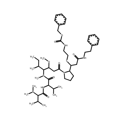 CCC(C)C(C(CC(=O)N1CCCC1C(CC(=O)NCCc1ccccc1)SCCNC(=O)OCc1ccccc1)OC)N(C)C(=O)C(NC(=O)C(C(C)C)N(C)C)C(C)C